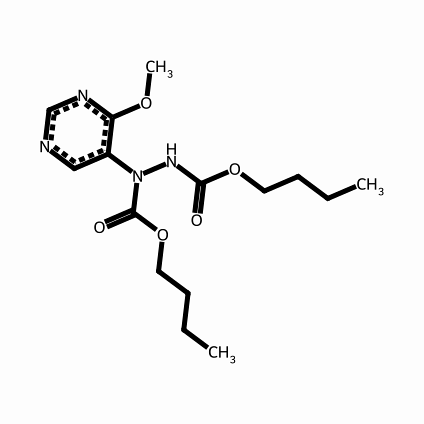 CCCCOC(=O)NN(C(=O)OCCCC)c1cncnc1OC